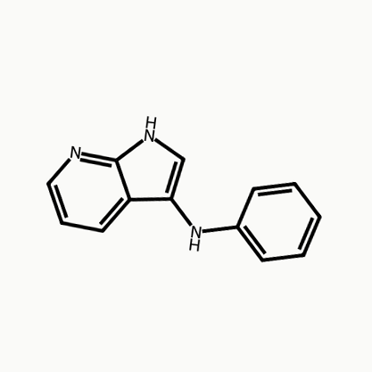 c1ccc(Nc2c[nH]c3ncccc23)cc1